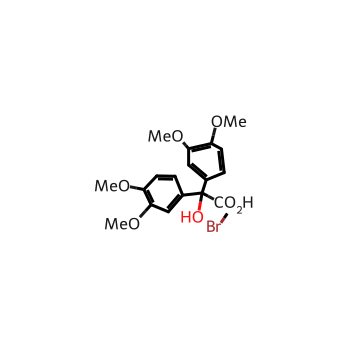 CBr.COc1ccc(C(O)(C(=O)O)c2ccc(OC)c(OC)c2)cc1OC